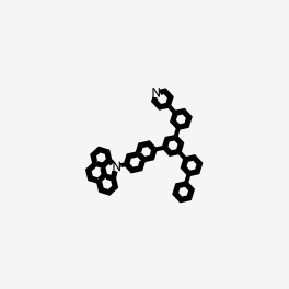 c1ccc(-c2cccc(-c3cc(-c4cccc(-c5ccncc5)c4)cc(-c4ccc5cc(-n6c7cccc8ccc9cccc6c9c87)ccc5c4)c3)c2)cc1